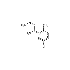 C=c1ccc(Cl)n/c1=C(N)/N=C\N